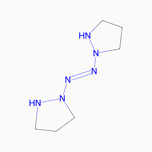 C1CNN(N=NN2CCCN2)C1